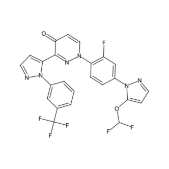 O=c1ccn(-c2ccc(-n3nccc3OC(F)F)cc2F)nc1-c1ccnn1-c1cccc(C(F)(F)F)c1